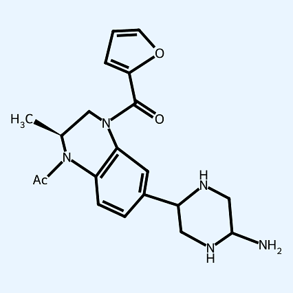 CC(=O)N1c2ccc(C3CNC(N)CN3)cc2N(C(=O)c2ccco2)C[C@@H]1C